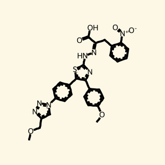 COCc1cn(-c2ccc(-c3sc(NN=C(Cc4ccccc4[N+](=O)[O-])C(=O)O)nc3-c3ccc(OC)cc3)cc2)nn1